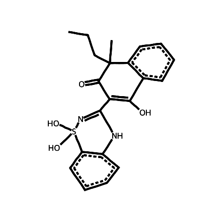 CCCC1(C)C(=O)C(C2=NS(O)(O)c3ccccc3N2)=C(O)c2ccccc21